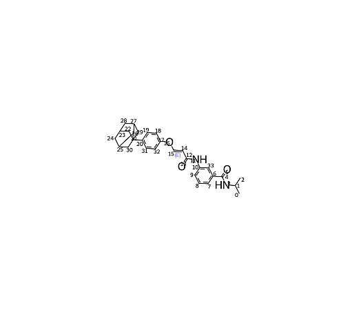 CC(C)NC(=O)c1cccc(NC(=O)/C=C/Oc2ccc(C34CC5CC(CC(C5)C3)C4)cc2)c1